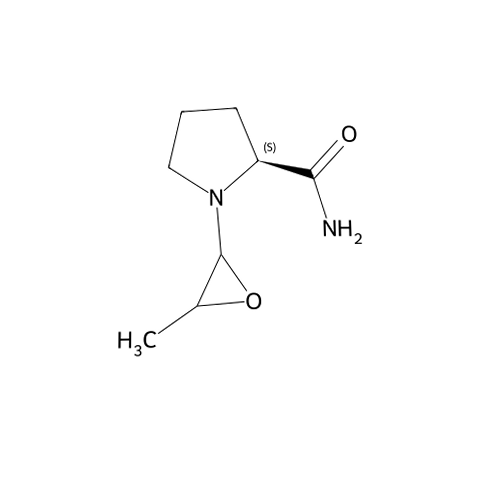 CC1OC1N1CCC[C@H]1C(N)=O